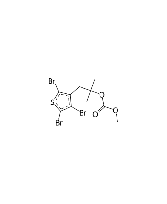 COC(=O)OC(C)(C)Cc1c(Br)sc(Br)c1Br